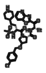 CC[C@H](NC(=O)[C@@H]1C[C@@H](OCc2ccc(Cl)cc2)CN1C(=O)[C@@H](CCC1CCNCC1)NS(C)(=O)=O)C(=O)c1nc2ncccc2o1